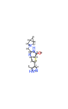 Cc1[nH]ncc1-c1cc2nc(CN3CC4CC4C3)[nH]c(=O)c2s1